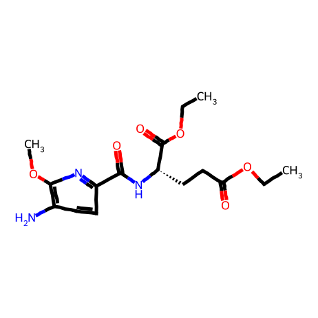 CCOC(=O)CC[C@H](NC(=O)c1ccc(N)c(OC)n1)C(=O)OCC